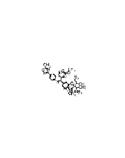 COC(=O)/N=C(SC)/C(=N\c1ccc(-c2noc(C)n2)cc1)c1ccc(OC)c(O[Si](C(C)C)(C(C)C)C(C)C)c1